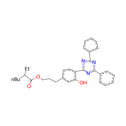 CCCCC(CC)C(=O)OCCCc1ccc(-c2nc(-c3ccccc3)nc(-c3ccccc3)n2)c(O)c1